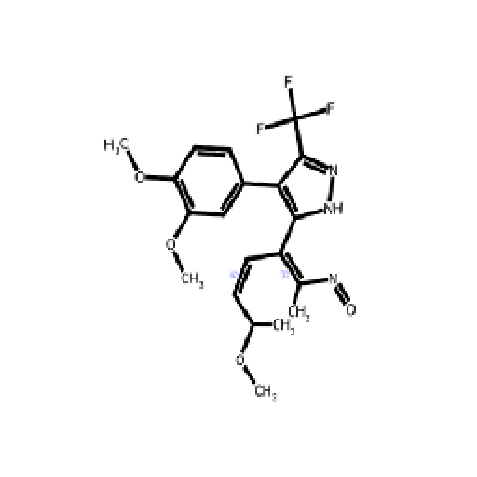 COc1ccc(-c2c(C(F)(F)F)n[nH]c2C(/C=C\C(C)OC)=C(/C)N=O)cc1OC